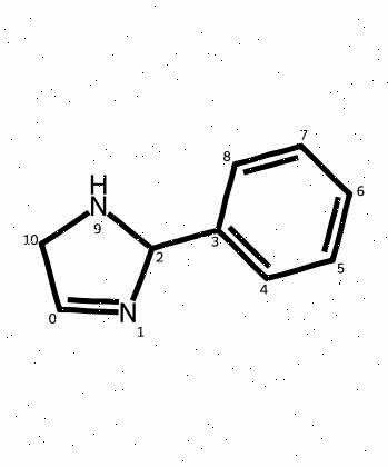 C1=NC(c2ccccc2)NC1